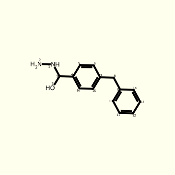 NNC(O)c1ccc(Cc2ccccc2)cc1